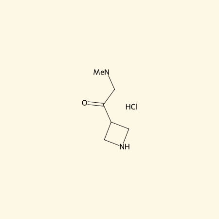 CNCC(=O)C1CNC1.Cl